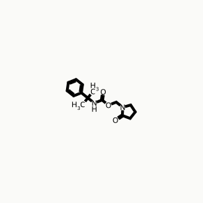 CC(C)(NC(=O)OCN1CCCC1=O)c1ccccc1